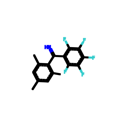 Cc1cc(C)c(C(=N)c2c(F)c(F)c(F)c(F)c2F)c(C)c1